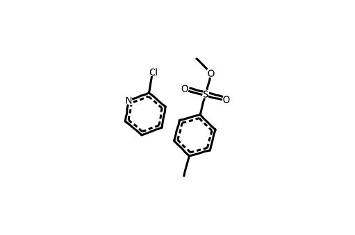 COS(=O)(=O)c1ccc(C)cc1.Clc1ccccn1